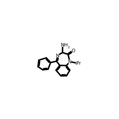 CC(C)N1C(=O)C(N)N=C(c2ccccc2)c2ccccc21